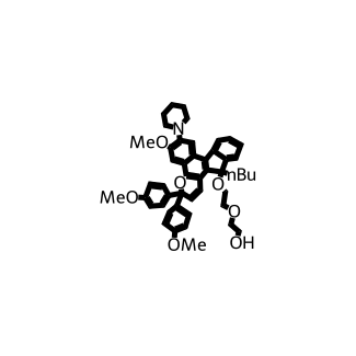 CCCCC1(OCCOCCO)c2ccccc2-c2c1c1c(c3cc(OC)c(N4CCCCC4)cc23)OC(c2ccc(OC)cc2)(c2ccc(OC)cc2)C=C1